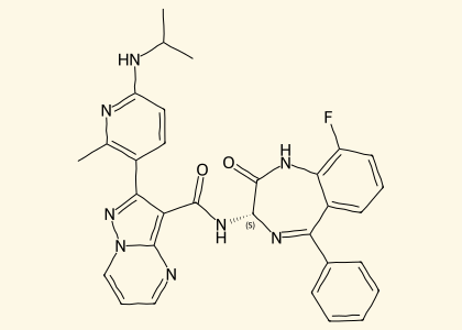 Cc1nc(NC(C)C)ccc1-c1nn2cccnc2c1C(=O)N[C@H]1N=C(c2ccccc2)c2cccc(F)c2NC1=O